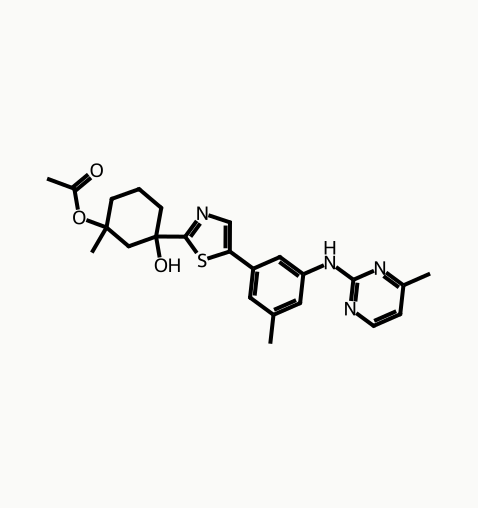 CC(=O)OC1(C)CCCC(O)(c2ncc(-c3cc(C)cc(Nc4nccc(C)n4)c3)s2)C1